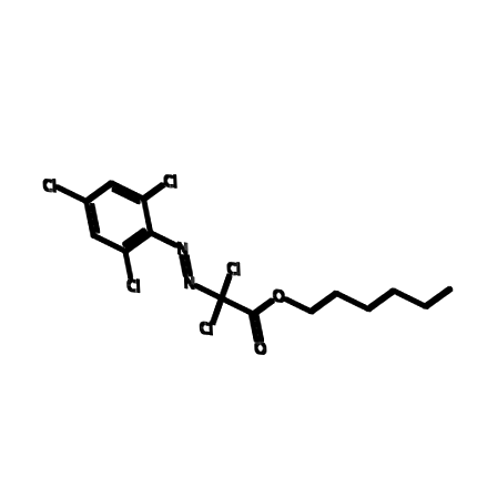 CCCCCCOC(=O)C(Cl)(Cl)N=Nc1c(Cl)cc(Cl)cc1Cl